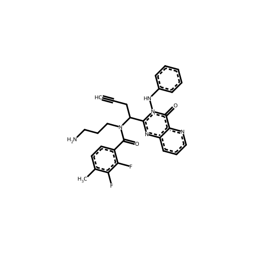 C#CCC(c1nc2cccnc2c(=O)n1Nc1ccccc1)N(CCCN)C(=O)c1ccc(C)c(F)c1F